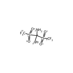 CCCC(N)(S(=O)(=O)C(F)(F)F)S(=O)(=O)C(F)(F)F